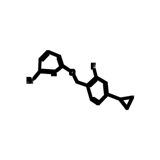 Fc1cc(C2CC2)ccc1COc1cccc(Br)n1